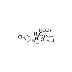 CON(C(=O)O)c1ccccc1COc1ccn(-c2ccc(Cl)cc2)n1